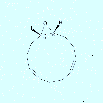 C1=CCC[C@@H]2O[C@@H]2CCC=CCC1